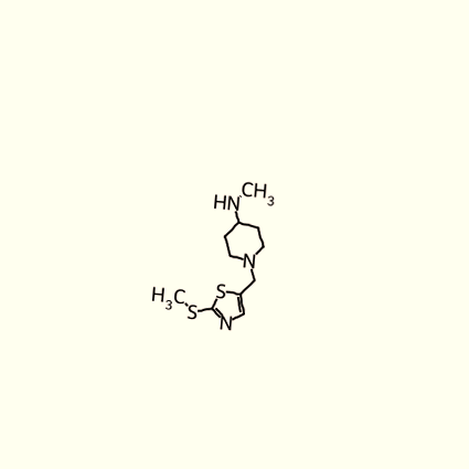 CNC1CCN(Cc2cnc(SC)s2)CC1